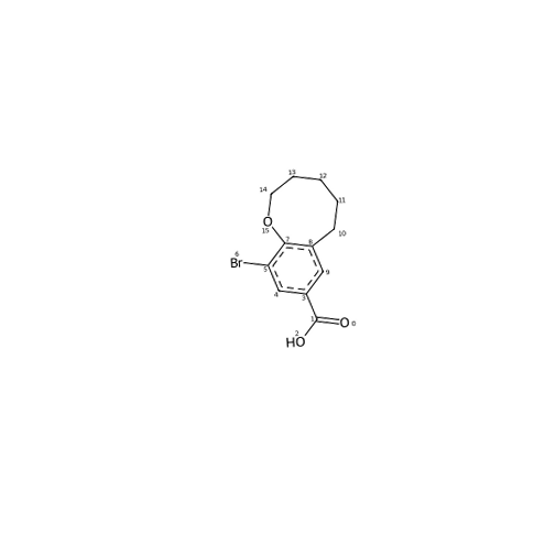 O=C(O)c1cc(Br)c2c(c1)CCCCCO2